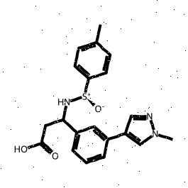 Cc1ccc([S@@+]([O-])NC(CC(=O)O)c2cccc(-c3cnn(C)c3)c2)cc1